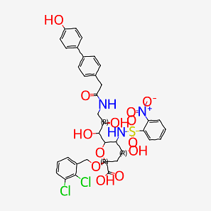 O=C(Cc1ccc(-c2ccc(O)cc2)cc1)NC[C@@H](O)C(O)C1O[C@@](OCc2cccc(Cl)c2Cl)(C(=O)O)C[C@@H](O)C1NS(=O)(=O)c1ccccc1[N+](=O)[O-]